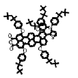 CC(C)(C)CC(C)(C)c1ccc(Oc2ccc3c(-c4sccc4N(c4ccc(C(C)(C)CC(C)(C)C)cc4)c4ccc(C(C)(C)CC(C)(C)C)cc4)cc(Oc4ccc(C(C)(C)CC(C)(C)C)cc4)c4c5ccc6c7c(Oc8ccc(C(C)(C)CC(C)(C)C)cc8)cc8c9c(cc(Oc%10ccc(C(C)(C)CC(C)(C)C)cc%10)c(c%10ccc(c2c34)c5c%106)c97)C(=O)OC8=O)cc1